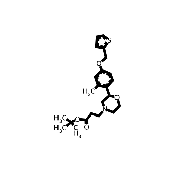 Cc1cc(OCc2cccs2)ccc1C1CN(CCC(=O)OC(C)(C)C)CCO1